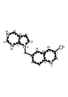 Clc1cnc2ccc(Cn3ccc4cncnc43)cc2c1